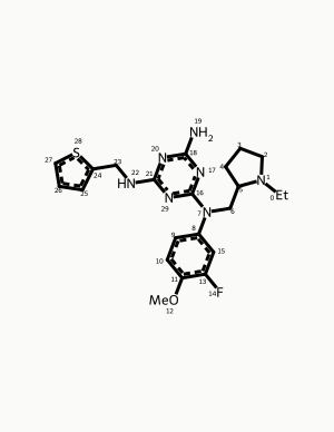 CCN1CCCC1CN(c1ccc(OC)c(F)c1)c1nc(N)nc(NCc2cccs2)n1